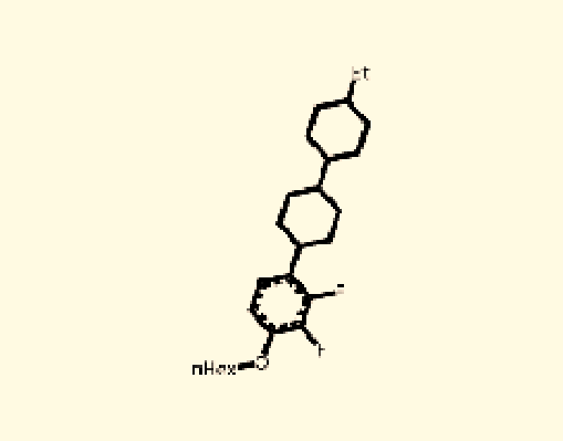 CCCCCCOc1ccc(C2CCC(C3CCC(CC)CC3)CC2)c(F)c1F